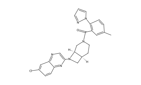 Cc1ccc(-n2cccn2)c(C(=O)N2CC[C@H]3CN(c4cnc5cc(Cl)ccc5n4)[C@H]3C2)c1